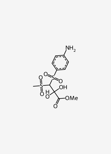 COC(=O)C(O)(O)C(S(C)(=O)=O)S(=O)(=O)c1ccc(N)cc1